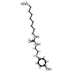 CCCCCCCCCCCCCCCCCCNC(=O)NCCSc1ccc(O)cc1